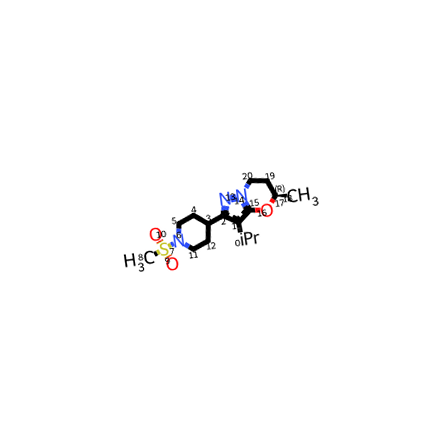 CC(C)c1c(C2CCN(S(C)(=O)=O)CC2)nn2c1O[C@H](C)CC2